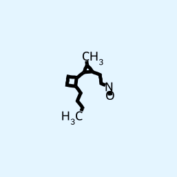 CCCCC1CCC1C1C(C)C1CCN=O